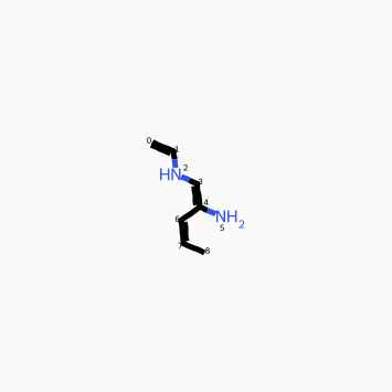 C=CN/C=C(N)\C=C/C